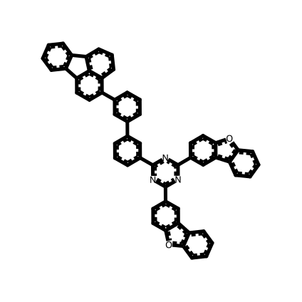 c1cc(-c2cccc(-c3ccc4c5c(cccc35)-c3ccccc3-4)c2)cc(-c2nc(-c3ccc4oc5ccccc5c4c3)nc(-c3ccc4oc5ccccc5c4c3)n2)c1